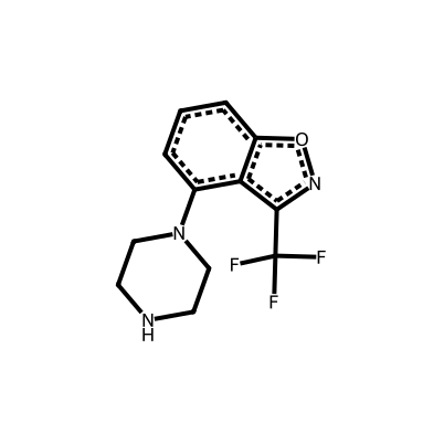 FC(F)(F)c1noc2cccc(N3CCNCC3)c12